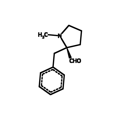 CN1CCC[C@]1(C=O)Cc1ccccc1